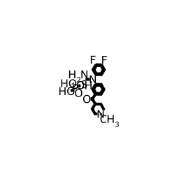 CN1CCC(C(=O)c2cccc(N(C(N)=S)c3ccc(F)c(F)c3)c2)CC1.O=P(O)(O)O